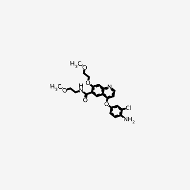 COCCNC(=O)c1cc2c(Oc3ccc(N)c(Cl)c3)ccnc2cc1OCCOC